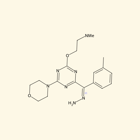 CNCCOc1nc(/C(=N\N)c2cccc(C)c2)nc(N2CCOCC2)n1